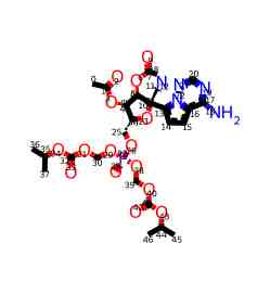 CC(=O)O[C@H]1[C@@H](OC(C)=O)[C@](C#N)(c2ccc3c(N)ncnn23)O[C@@H]1COP(=O)(OCOC(=O)OC(C)C)OCOC(=O)OC(C)C